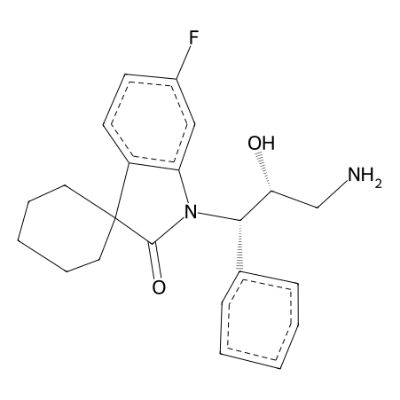 NC[C@@H](O)[C@H](c1ccccc1)N1C(=O)C2(CCCCC2)c2ccc(F)cc21